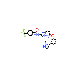 Cn1nccc1-c1cccc(Oc2ccc3nc(NC(=O)c4ccc(C(F)(F)F)cc4)cn3n2)c1